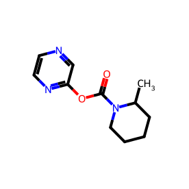 CC1CCCCN1C(=O)Oc1cnccn1